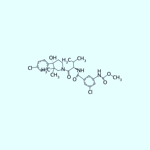 COC(=O)Nc1cc(Cl)cc(C(=O)N[C@@H](C(=O)N2CC[C@](O)(c3ccc(Cl)cc3)C(C)(C)C2)C(C)C)c1